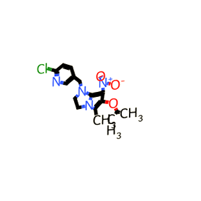 Cc1c(OC(C)C)c([N+](=O)[O-])c2n1CCN2Cc1ccc(Cl)nc1